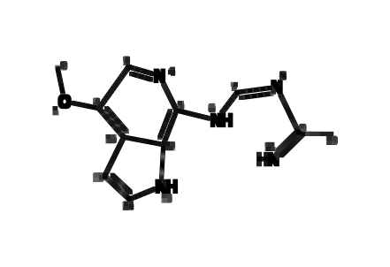 COc1cnc(N/C=N\C(C)=N)c2[nH]ccc12